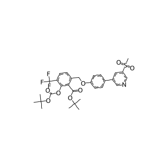 CC(C)(C)OC(=O)Oc1c(C(F)(F)F)ccc(COc2ccc(-c3cncc(S(C)(=O)=O)c3)cc2)c1C(=O)OC(C)(C)C